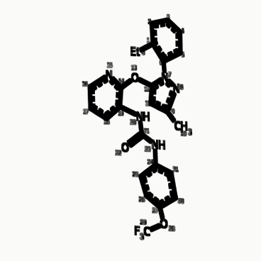 CCc1ccccc1-n1nc(C)cc1Oc1ncccc1NC(=O)Nc1ccc(OC(F)(F)F)cc1